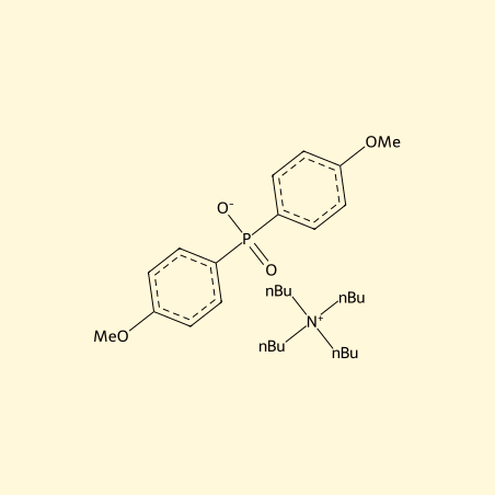 CCCC[N+](CCCC)(CCCC)CCCC.COc1ccc(P(=O)([O-])c2ccc(OC)cc2)cc1